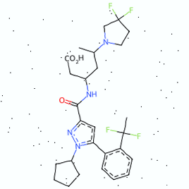 CC(CC(CC(=O)O)NC(=O)c1cc(-c2ccccc2C(C)(F)F)n(C2CCCC2)n1)N1CCC(F)(F)C1